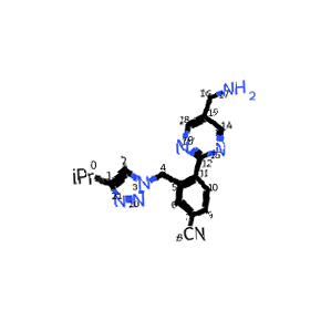 CC(C)c1cn(Cc2cc(C#N)ccc2-c2ncc(CN)cn2)nn1